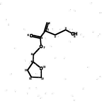 C=C(CCO)C(=O)OCC1CCCO1